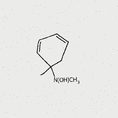 CN(O)C1(C)C=CC=CC1